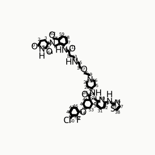 O=C1CCC(N2Cc3c(NC(=O)CCNCCOCCN4CCC(NC(=O)[C@]5(Cc6cccc(Nc7nccs7)n6)CC[C@@H](Oc6cccc(Cl)c6F)CC5)CC4)cccc3C2=O)C(=O)N1